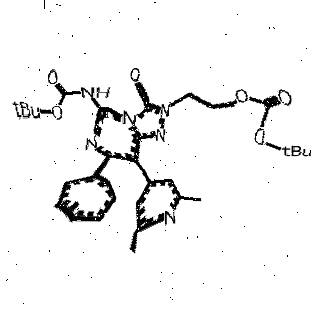 Cc1cc(-c2c(-c3ccccc3)nc(NC(=O)OC(C)(C)C)n3c(=O)n(CCOC(=O)OC(C)(C)C)nc23)cc(C)n1